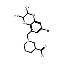 O=C(O)C1CCCN(Cc2cc(Br)cc3c2NC(O)C(O)N3)C1